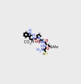 CSCC[C@H](NC(=O)[C@@H](N)CS)C(=O)NCC(=O)N1CCC[C@H]1C(=O)N[C@@H](Cc1c[nH]c2ccccc12)C(=O)O